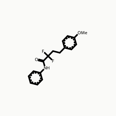 COc1ccc(CCC(F)(F)C(=O)Nc2ccccc2)cc1